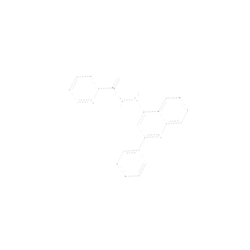 O=C(NNc1cc(-c2ccccc2)nc2ccccc12)c1ccccn1